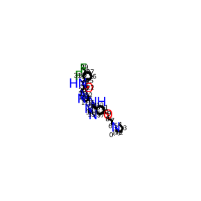 C[C@H]1CCCN1CCCOc1ccc2c(Nc3cnn(CC(=O)Nc4cccc(F)c4F)c3)ncnc2c1